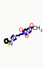 CC(=O)N1CCn2c(cc(=O)n(CCCCN3CCN(c4nsc5ccccc45)CC3)c2=O)C1